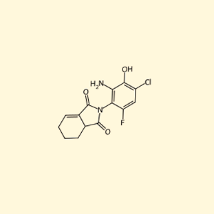 Nc1c(O)c(Cl)cc(F)c1N1C(=O)C2=CCCCC2C1=O